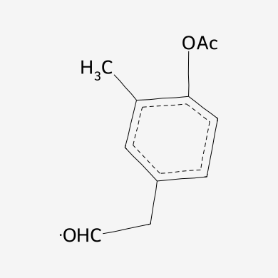 CC(=O)Oc1ccc(C[C]=O)cc1C